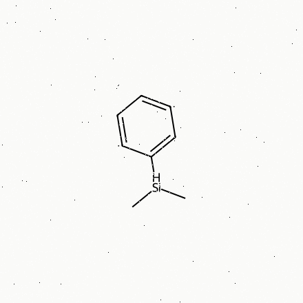 C[SiH](C)c1[c]cc[c]c1